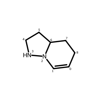 C1=CN2NCCC2CC1